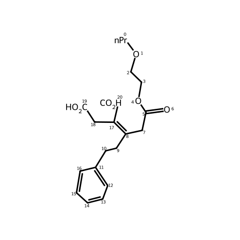 CCCOCCOC(=O)CC(CCc1ccccc1)=C(CC(=O)O)C(=O)O